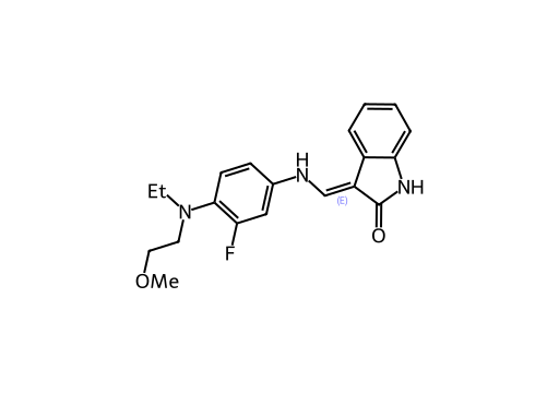 CCN(CCOC)c1ccc(N/C=C2/C(=O)Nc3ccccc32)cc1F